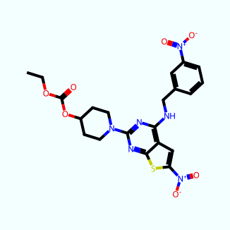 CCOC(=O)OC1CCN(c2nc(NCc3cccc([N+](=O)[O-])c3)c3cc([N+](=O)[O-])sc3n2)CC1